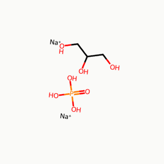 O=P(O)(O)O.OCC(O)CO.[Na+].[Na+]